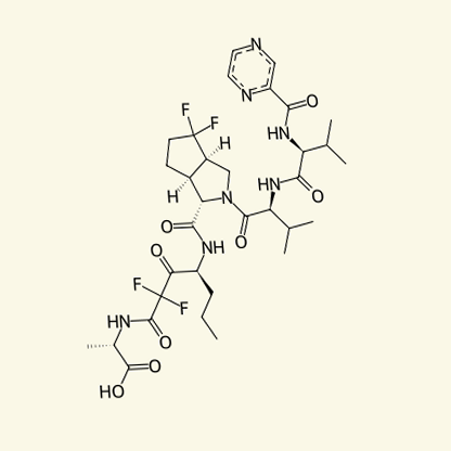 CCC[C@H](NC(=O)[C@@H]1[C@H]2CCC(F)(F)[C@H]2CN1C(=O)[C@@H](NC(=O)[C@@H](NC(=O)c1cnccn1)C(C)C)C(C)C)C(=O)C(F)(F)C(=O)N[C@@H](C)C(=O)O